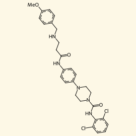 COc1ccc(CNCCC(=O)Nc2ccc(N3CCN(C(=O)Nc4c(Cl)cccc4Cl)CC3)cc2)cc1